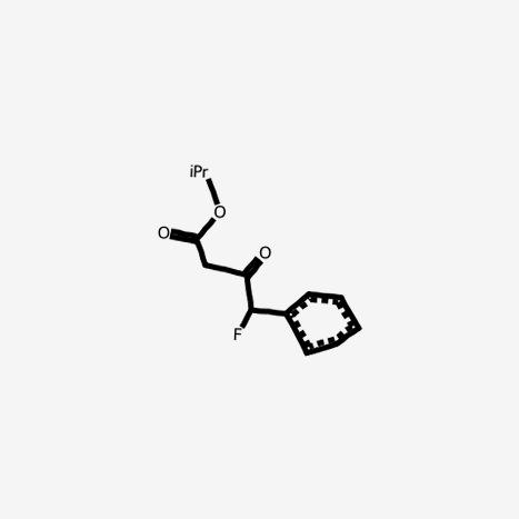 CC(C)OC(=O)CC(=O)C(F)c1ccccc1